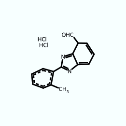 Cc1ccccc1C1=NC2=CC=CC(C=O)C2=N1.Cl.Cl